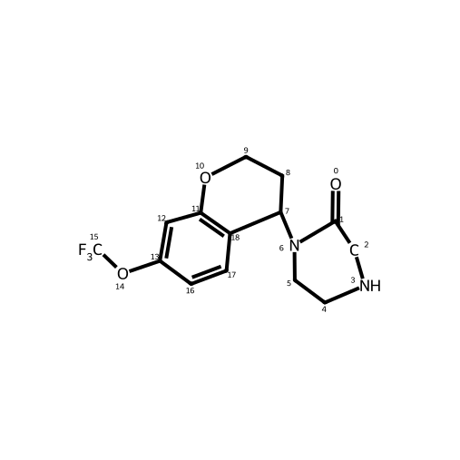 O=C1CNCCN1C1CCOc2cc(OC(F)(F)F)ccc21